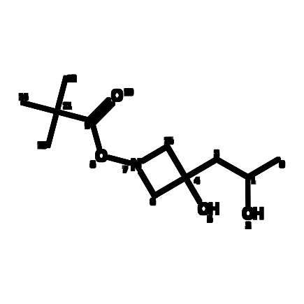 CC(O)CC1(O)CN(OC(=O)C(C)(C)C)C1